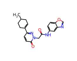 CC1CC=C(c2ccc(=O)n(CC(=O)Nc3ccc4ocnc4c3)n2)CC1